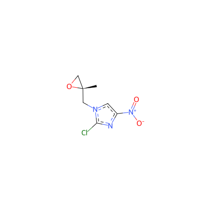 C[C@]1(Cn2cc([N+](=O)[O-])nc2Cl)CO1